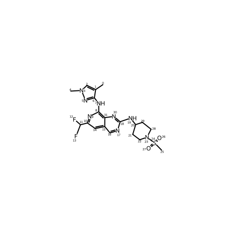 Cc1cn(C)nc1Nc1nc(C(F)F)cc2cnc(NC3CCN(S(C)(=O)=O)CC3)nc12